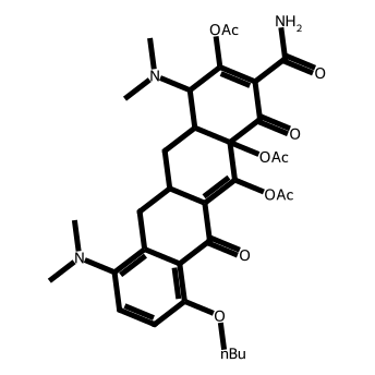 CCCCOc1ccc(N(C)C)c2c1C(=O)C1=C(OC(C)=O)C3(OC(C)=O)C(=O)C(C(N)=O)=C(OC(C)=O)C(N(C)C)C3CC1C2